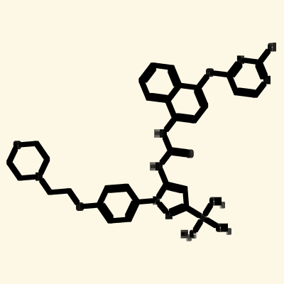 C[Si](C)(C)c1cc(NC(=O)Nc2ccc(Oc3ccnc(Cl)n3)c3ccccc23)n(-c2ccc(OCCN3CCOCC3)cc2)n1